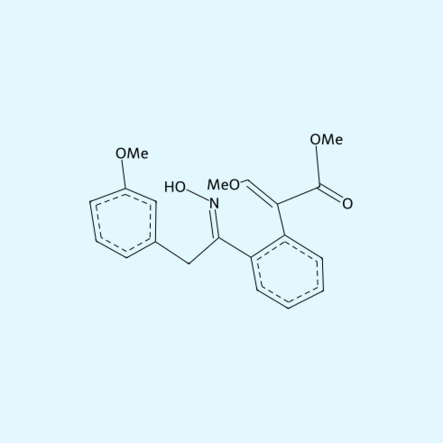 CO/C=C(/C(=O)OC)c1ccccc1/C(Cc1cccc(OC)c1)=N/O